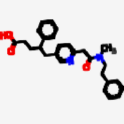 CN(CCc1ccccc1)C(=O)Cc1ccc(CC(CCC(=O)O)c2ccccc2)cn1